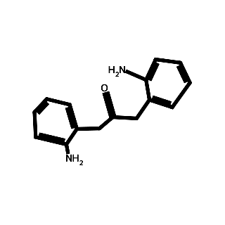 Nc1ccccc1CC(=O)Cc1ccccc1N